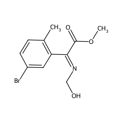 COC(=O)/C(=N/CO)c1cc(Br)ccc1C